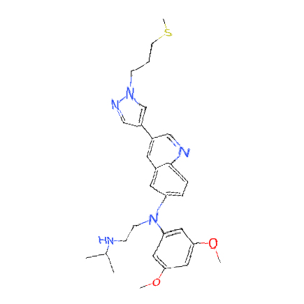 COc1cc(OC)cc(N(CCNC(C)C)c2ccc3ncc(-c4cnn(CCCSC)c4)cc3c2)c1